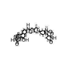 C[C@@H]1CN(c2ccc3c(c2)n(C)c(=O)n3C2CCC(=O)NC2=O)CC[C@H]1CC(=O)Nc1ccc2c(F)c(N3CC(=O)NS3(=O)=O)c(O)cc2c1